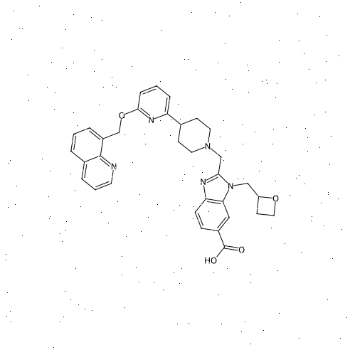 O=C(O)c1ccc2nc(CN3CCC(c4cccc(OCc5cccc6cccnc56)n4)CC3)n(CC3CCO3)c2c1